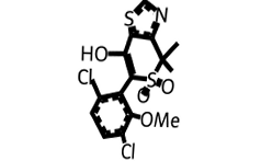 COc1c(Cl)ccc(Cl)c1C1=C(O)c2scnc2C(C)(C)S1(=O)=O